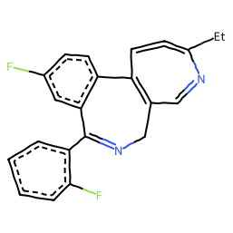 CCC1=C=CC2=C(C=N1)CN=C(c1ccccc1F)c1cc(F)ccc12